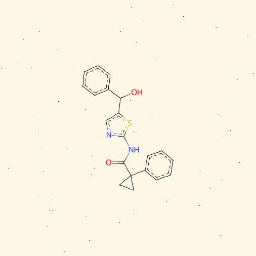 O=C(Nc1ncc(C(O)c2ccccc2)s1)C1(c2ccccc2)CC1